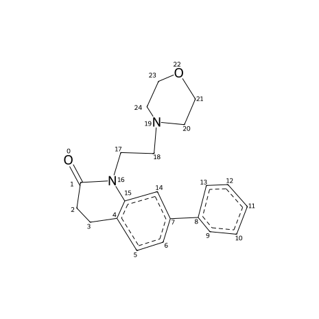 O=C1CCc2ccc(-c3ccccc3)cc2N1CCN1CCOCC1